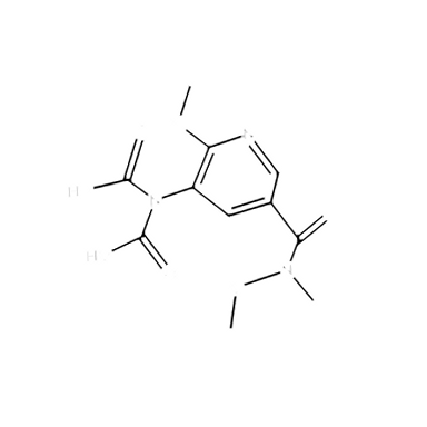 COc1ncc(C(=O)N(C)OC)cc1N(C(=O)O)C(=O)O